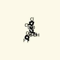 O=S(=O)(c1ccc(F)c(F)c1)[C@H]1CN(S(=O)(=O)c2ccc(Cl)cc2Cl)C[C@@]1(O)CO